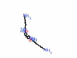 NCCCCCCCCCCCCNC(=O)NC1CCC(CC2CCC(NC(=O)NCCCCCCCCCCCCN)CC2)CC1